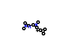 CC1(C)c2cc3c4ccccc4c4ccccc4c3cc2-c2cc3c(cc21)c1cc(-c2cc4c5ccccc5n(-c5ccccc5)c4cn2)ccc1n3-c1ccccc1